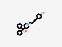 OC(c1ccccc1)(c1ccccc1)C1CCN(CCC#Cc2ccc(Br)cc2)CC1